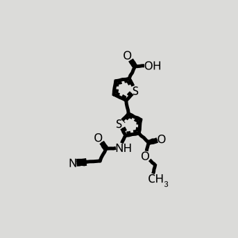 CCOC(=O)c1cc(-c2ccc(C(=O)O)s2)sc1NC(=O)CC#N